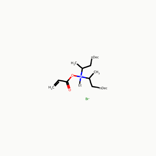 C=CC(=O)O[N+](CC)(C(C)CCCCCCCCCCC)C(C)CCCCCCCCCCC.[Br-]